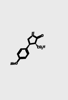 COc1ccc([C@H]2CNC(=O)[C@@H]2C(=O)O)cc1